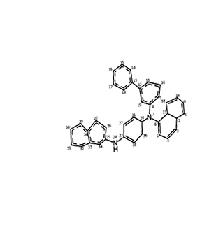 C1=CC2C=CC=C(N(c3cccc(-c4ccccc4)c3)C3C=CC(Nc4ccc5ccccc5c4)=CC3)C2C=C1